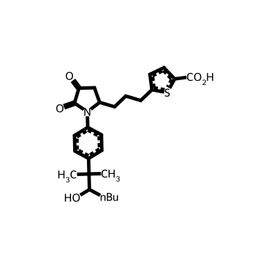 CCCCC(O)C(C)(C)c1ccc(N2C(=O)C(=O)CC2CCCc2ccc(C(=O)O)s2)cc1